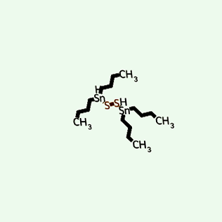 CCC[CH2][SnH]([CH2]CCC)[S][S][SnH]([CH2]CCC)[CH2]CCC